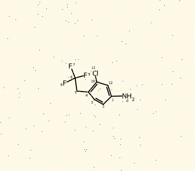 Nc1ccc(CC(F)(F)F)c(Cl)c1